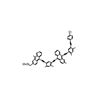 CCc1ccc(C#Cc2cc(C#Cc3c4ccccc4c(C#Cc4cc(C#Cc5c6ccccc6c(C)c6cc(CNC)ccc56)c(C)cc4C)c4ccc(C)cc34)c(C)cc2C)cc1